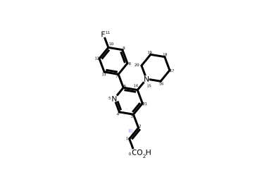 O=C(O)/C=C/c1cnc(-c2ccc(F)cc2)c(N2CCCCC2)c1